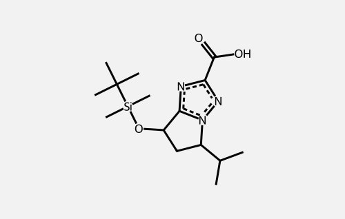 CC(C)C1CC(O[Si](C)(C)C(C)(C)C)c2nc(C(=O)O)nn21